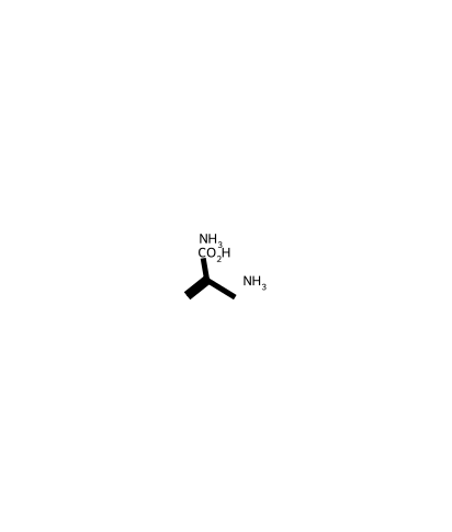 C=C(C)C(=O)O.N.N